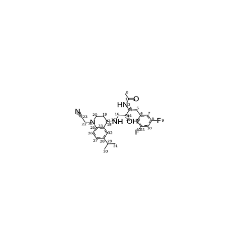 CC(=O)N[C@@H](Cc1cc(F)cc(F)c1)[C@H](O)CN[C@H]1CCN(CC#N)c2ccc(C(C)C)cc21